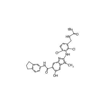 Cn1c(Nc2c(Cl)ccc(CNC(=O)C(C)(C)C)c2Cl)nc2cc(C(=O)Nc3ccc4c(c3)CCC4)c(O)cc21